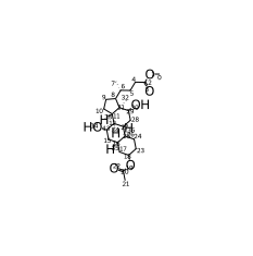 COC(=O)CC[C@@H](C)C1CC[C@H]2[C@@H]3[C@H](O)C[C@@H]4CC(OC(C)=O)CC[C@]4(C)[C@H]3C[C@H](O)[C@]12C